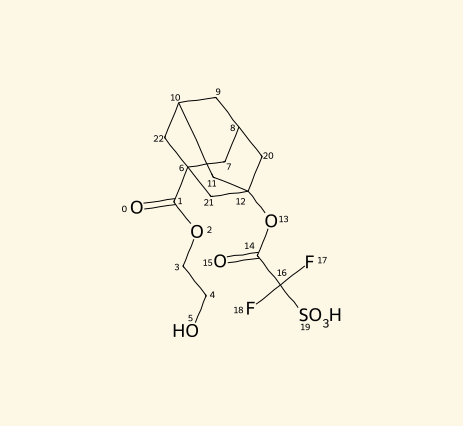 O=C(OCCO)C12CC3CC(CC(OC(=O)C(F)(F)S(=O)(=O)O)(C3)C1)C2